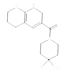 CC1(F)CCN(C(=O)C2=CC3=C(NCCC3)NC2)CC1